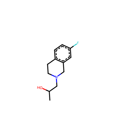 CC(O)CN1CCc2ccc(F)cc2C1